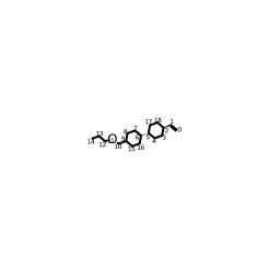 C=C[C@H]1CC[C@H](C2CCC(COCCC)CC2)CC1